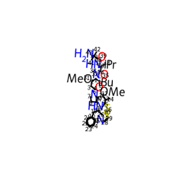 CCC(C)C(C(CC(=O)N1CCC[C@H]1C(OC)C(C)C(=S)NC(Cc1ccccc1)c1nccs1)OC)N(C)C(=O)C(NC(=O)C(C)(C)N)C(C)C